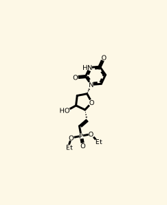 CCOP(=O)(/C=C/[C@H]1O[C@@H](n2ccc(=O)[nH]c2=O)CC1O)OCC